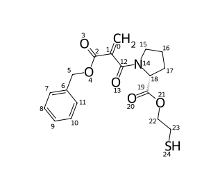 C=C(C(=O)OCc1ccccc1)C(=O)N1CCC[C@@H]1C(=O)OCCS